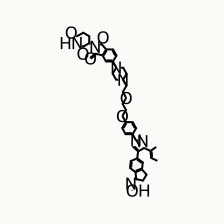 C/C=C(\C)c1nn(-c2ccc(OCCOCCN3CCN(c4ccc5c(c4)C(=O)N(C4CCC(=O)NC4=O)C5=O)CC3)cc2)cc1-c1ccc2c(c1)CC/C2=N\O